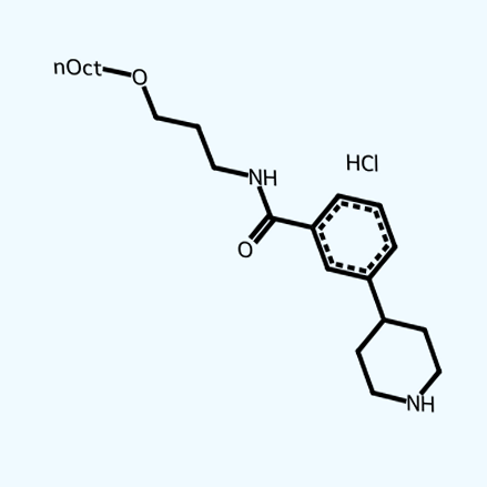 CCCCCCCCOCCCNC(=O)c1cccc(C2CCNCC2)c1.Cl